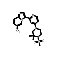 CC1(C)CN(c2ccnc(-c3cnc4ccc(C(F)(F)F)cn34)n2)CCN1S(C)(=O)=O